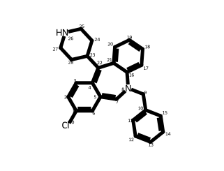 Clc1ccc2c(c1)=CN(Cc1ccccc1)c1ccccc1C=2C1CCNCC1